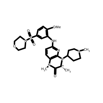 COc1ccc(S(=O)(=O)N2CCOCC2)cc1Nc1ccc2c(n1)N(C1CCN(C)CC1)[C@H](C)C(=O)N2C